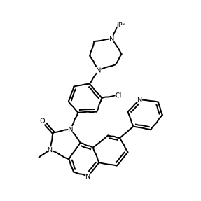 CC(C)N1CCN(c2ccc(-n3c(=O)n(C)c4cnc5ccc(-c6cccnc6)cc5c43)cc2Cl)CC1